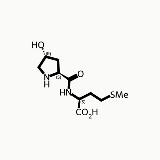 CSCC[C@H](NC(=O)[C@@H]1C[C@@H](O)CN1)C(=O)O